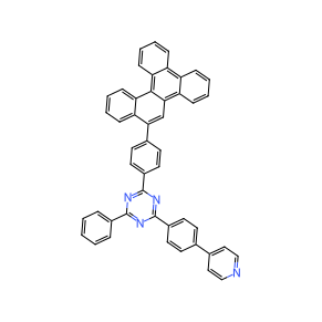 c1ccc(-c2nc(-c3ccc(-c4ccncc4)cc3)nc(-c3ccc(-c4cc5c6ccccc6c6ccccc6c5c5ccccc45)cc3)n2)cc1